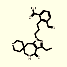 CCc1nn(CCCc2c(C=O)cccc2C(=O)O)c2c1C(=O)NCC1(CCOCC1)C2